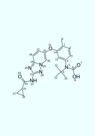 Cc1ccc(N(C(=O)O)C(C)(C)C)cc1Oc1ccc2nc(NC(=O)C3CC3)nn2c1